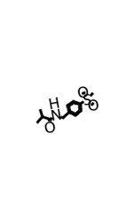 CC(C)C(=O)NCc1ccc(S(C)(=O)=O)cc1